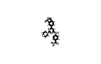 CN(C)C(=O)c1ccc(Nc2cc(-c3ccc4cnn(C)c4c3)nc(N3CCOCC3)n2)cc1